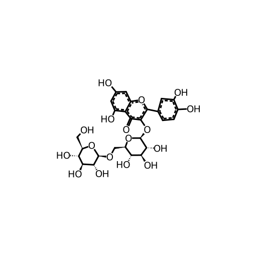 O=c1c(O[C@@H]2O[C@H](CO[C@@H]3O[C@H](CO)[C@@H](O)[C@H](O)[C@H]3O)[C@@H](O)[C@H](O)[C@H]2O)c(-c2ccc(O)c(O)c2)oc2cc(O)cc(O)c12